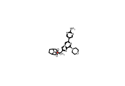 CS(=O)(=O)N1C2CCC1CN(Cc1cn3cc(-c4cnc(N)nc4)nc(N4CCOCC4)c3n1)C2